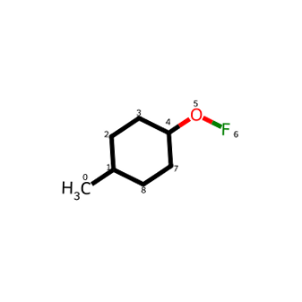 CC1CCC(OF)CC1